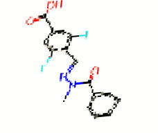 CN(N=Cc1c(F)cc(C(=O)O)cc1F)C(=O)c1ccccc1